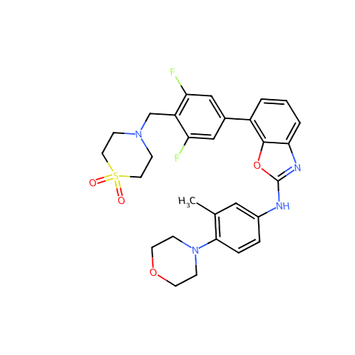 Cc1cc(Nc2nc3cccc(-c4cc(F)c(CN5CCS(=O)(=O)CC5)c(F)c4)c3o2)ccc1N1CCOCC1